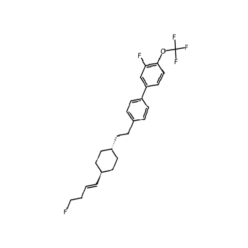 FCCC=C[C@H]1CC[C@H](CCc2ccc(-c3ccc(OC(F)(F)F)c(F)c3)cc2)CC1